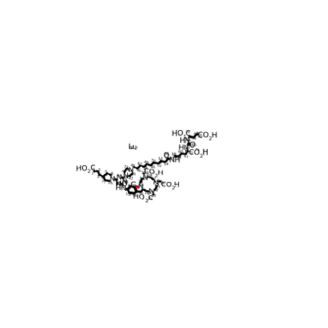 O=C(O)CCCC1CCN(c2nc(Nc3ccc(CC4CN(CC(=O)O)CCN(CC(=O)O)CCN(CC(=O)O)CCN4CC(=O)O)cc3)nc(N3CCN(CCCCCCCCCCC(=O)NCCCC[C@H](NC(=O)N[C@@H](CCC(=O)O)C(=O)O)C(=O)O)CC3)n2)CC1.[Lu]